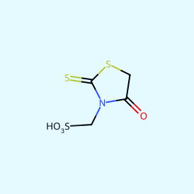 O=C1CSC(=S)N1CS(=O)(=O)O